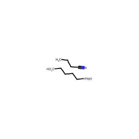 CCCC#N.CCCCCCCCCCCC(=O)O